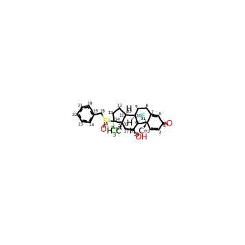 C[C@]12C=CC(=O)C=C1CC[C@@H]1[C@@H]3CC[C@](Cl)([S@+]([O-])Cc4ccccc4)[C@@]3(C)C[C@H](O)[C@@]12F